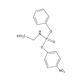 CCOC(=O)CNP(=O)(Oc1ccccc1)Oc1ccc([N+](=O)[O-])cc1